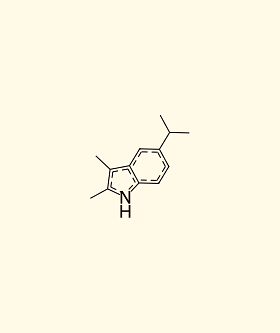 Cc1[nH]c2ccc(C(C)C)cc2c1C